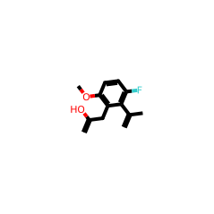 C=C(O)Cc1c(OC)ccc(F)c1C(=C)C